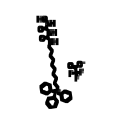 O=C(NO)NC(=O)NCCCCCCCCCC[P+](c1ccccc1)(c1ccccc1)c1ccccc1.O=C([O-])C(F)(F)F